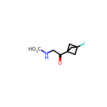 O=C(O)NCC(=O)C12CC(F)(C1)C2